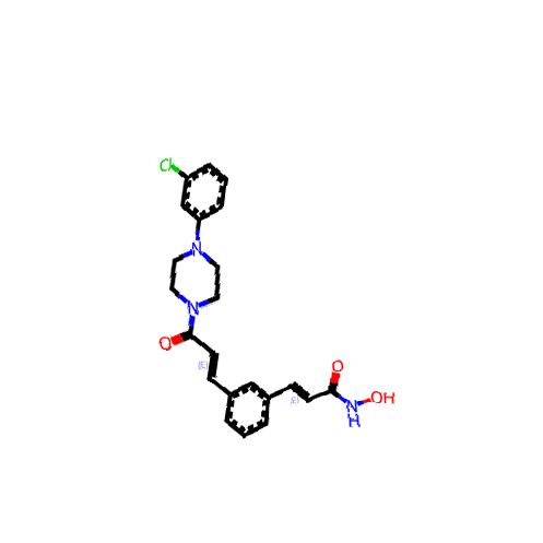 O=C(/C=C/c1cccc(/C=C/C(=O)N2CCN(c3cccc(Cl)c3)CC2)c1)NO